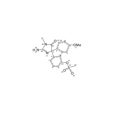 COc1ccc(C2(c3cccc(OS(C)(=O)=O)c3)N=C(N)N(C)C2=O)cc1